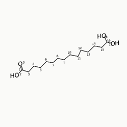 O=C(O)CCCCCCCCCCCCCC(O)O